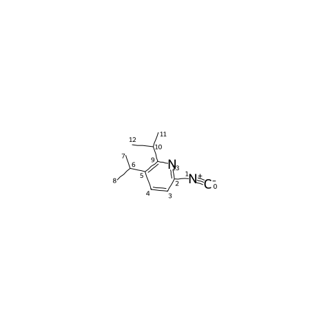 [C-]#[N+]c1ccc(C(C)C)c(C(C)C)n1